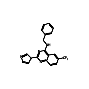 FC(F)(F)c1ccc2nc(-n3ccnc3)nc(NCc3ccccc3)c2c1